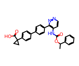 CC(OC(=O)Nc1ccnnc1-c1ccc(-c2ccc(C3(C(=O)O)CC3)cc2)cc1)c1ccccc1